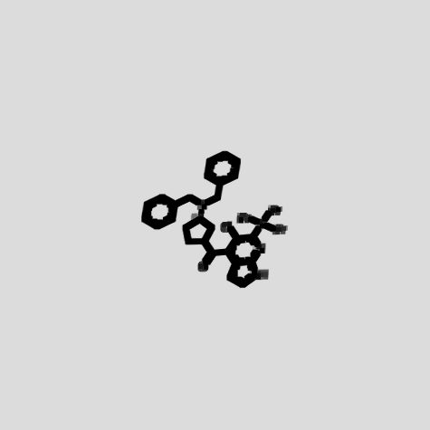 CC(C)[Si](c1nc2[nH]ccc2c(C(=O)C2CC[C@H](N(Cc3ccccc3)Cc3ccccc3)C2)c1Cl)(C(C)C)C(C)C